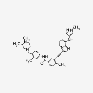 Cc1ccc(C(=O)Nc2ccc(CN3CCN(C)C(C)C3)c(C(F)(F)F)c2)cc1C#Cc1cnc2c(Nc3cnn(C)c3)cccn12